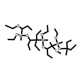 CCOC(CC)[Si](C)(OCC)OC(CC)C(CC)(CC)[Si](C)(OCC)OC(CC)C(C)(CC)[Si](C)(OCC)OC(C)(CC)CC